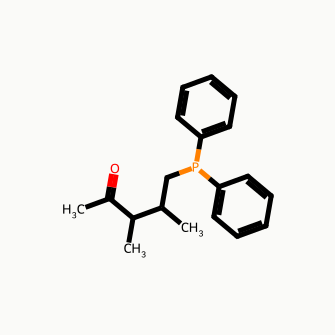 CC(=O)C(C)C(C)CP(c1ccccc1)c1ccccc1